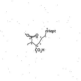 CCCCCCCCCCC(C(=O)O)C(C)P(=O)=O